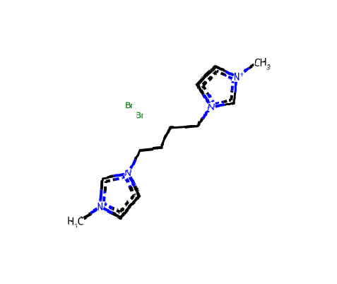 C[n+]1ccn(CCCCn2cc[n+](C)c2)c1.[Br-].[Br-]